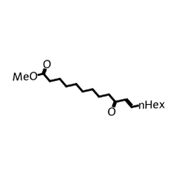 CCCCCC/C=C/C(=O)CCCCCCCCC(=O)OC